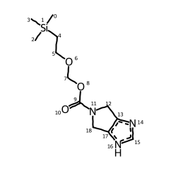 C[Si](C)(C)CCOCOC(=O)N1Cc2nc[nH]c2C1